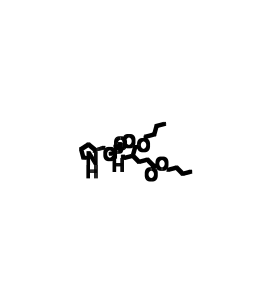 CCCCOC(=O)CCC(C[PH](=O)OC[C@@H]1CCCN1)C(=O)OCCCC